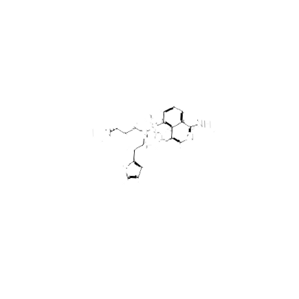 Cc1cnc(N)c2cccc(S(=O)(=O)N(CCCN)CCc3cccs3)c12